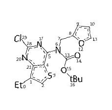 CCc1csc2c(N(Cc3ccco3)C(=O)OC(C)(C)C)nc(Cl)nc12